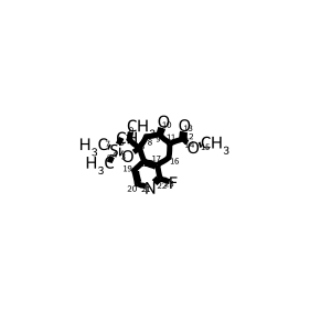 CCC1(O[Si](C)(C)C)CC(=O)C(C(=O)OC)Cc2c1ccnc2F